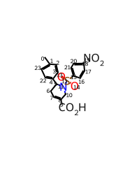 Cc1ccc(C2CC=C(C(=O)O)CN2S(=O)(=O)c2ccc([N+](=O)[O-])cc2)cc1